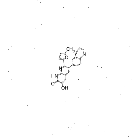 Cc1ccc(-c2nc3[nH]c(=O)c(O)cc3cc2-c2ccc3ncccc3c2)o1